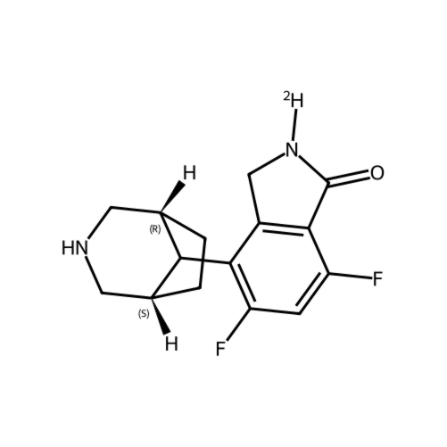 [2H]N1Cc2c(c(F)cc(F)c2C2[C@@H]3CC[C@H]2CNC3)C1=O